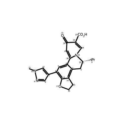 CC(C)[C@@H]1Cc2c(cc(-c3cnn(C)c3)c3c2CCO3)-c2cc(=O)c(C(=O)O)cn21